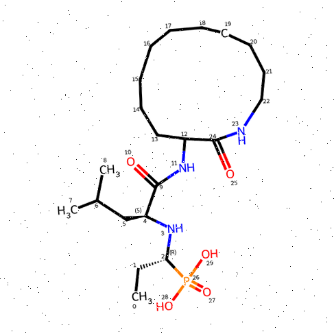 CC[C@H](N[C@@H](CC(C)C)C(=O)NC1CCCCCCCCCCNC1=O)P(=O)(O)O